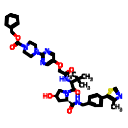 Cc1ncsc1-c1ccc(CNC(=O)[C@@H]2C[C@@H](O)CN2C(=O)[C@@H](NC(=O)COc2cnc(N3CCN(C(=O)OCc4ccccc4)CC3)nc2)C(C)(C)C)cc1